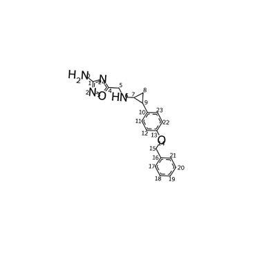 Nc1noc(CNC2CC2c2ccc(OCc3ccccc3)cc2)n1